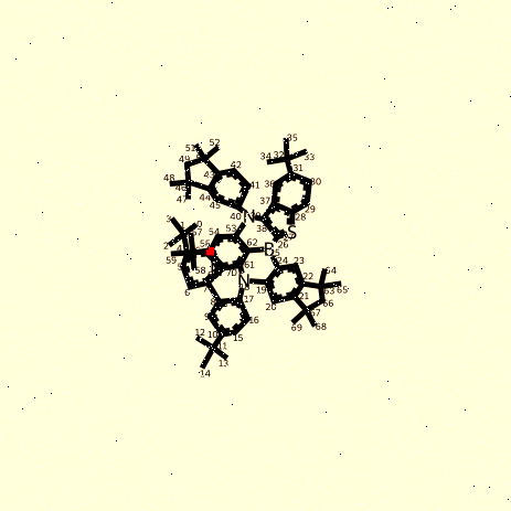 CC(C)(C)c1ccc(-c2cc(C(C)(C)C)ccc2N2c3cc4c(cc3B3c5sc6ccc(C(C)(C)C)cc6c5N(c5ccc6c(c5)C(C)(C)CC6(C)C)c5cc(C(C)(C)C)nc2c53)C(C)(C)CC4(C)C)cc1